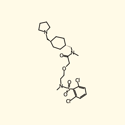 CN(C[C@H]1CC[C@H](CN2CCCC2)CC1)C(=O)COCCN(C)S(=O)(=O)c1c(Cl)cccc1Cl